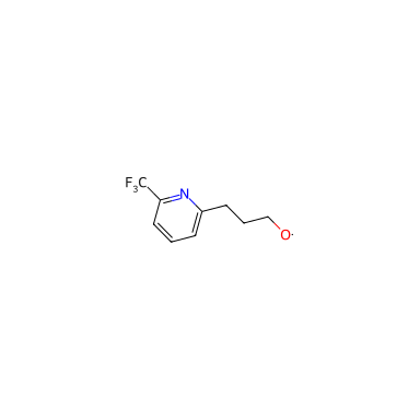 [O]CCCc1cccc(C(F)(F)F)n1